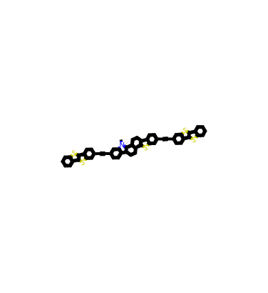 Cn1c2cc(C#Cc3ccc4c(c3)sc3c5ccccc5sc43)ccc2c2ccc3c(ccc4c5ccc(C#Cc6ccc7c(c6)sc6c8ccccc8sc76)cc5sc43)c21